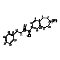 CCN1CCc2ccc(C(=O)NCCc3ccccc3)cc2CC1